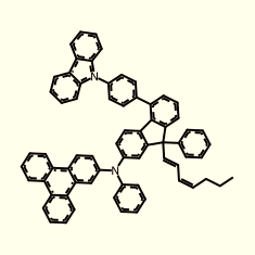 CCC/C=C\C=C\C1(c2ccccc2)c2cc(N(c3ccccc3)c3ccc4c5ccccc5c5ccccc5c4c3)ccc2-c2c(-c3ccc(-n4c5ccccc5c5ccccc54)cc3)cccc21